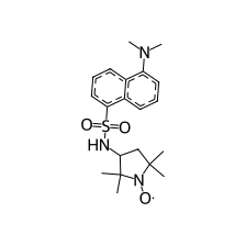 CN(C)c1cccc2c(S(=O)(=O)NC3CC(C)(C)N([O])C3(C)C)cccc12